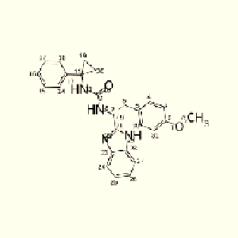 COc1ccc(C[C@@H](NC(=O)NC2(c3ccccc3)CC2)c2nc3ccccc3[nH]2)cc1